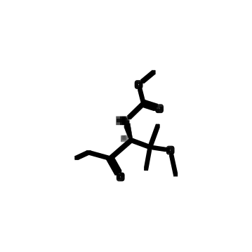 CCC(=O)[C@@H](NC(=O)OC)C(C)(C)OC